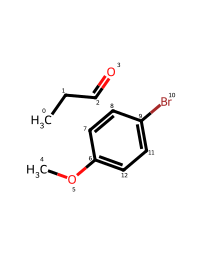 CCC=O.COc1ccc(Br)cc1